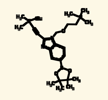 CC1(C)OB(c2ccc3c(c2)nc(C#C[Si](C)(C)C(C)(C)C)n3COCC[Si](C)(C)C)OC1(C)C